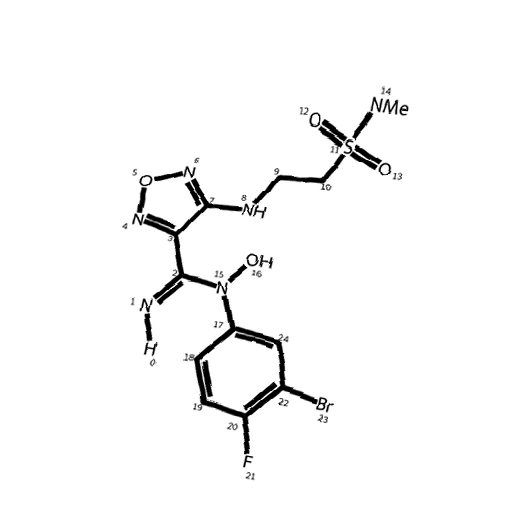 [H]/N=C(/c1nonc1NCCS(=O)(=O)NC)N(O)c1ccc(F)c(Br)c1